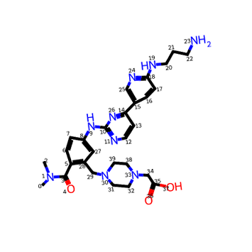 CN(C)C(=O)c1ccc(Nc2nccc(-c3ccc(NCCCN)nc3)n2)cc1CN1CCN(CC(=O)O)CC1